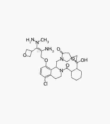 CN(N)/C(=C(\N)COc1ccc(Cl)c2c1C(CN1CC3(CC3)CC1=O)N(C(=O)C1CCCCC1C(=O)O)CC2)C1COC1